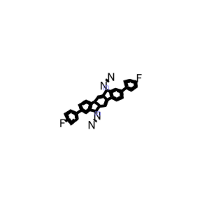 N#C/N=C1/C2=CC3c4ccc(-c5ccc(F)cc5)cc4/C(=N\C#N)C3C=C2c2ccc(-c3ccc(F)cc3)cc21